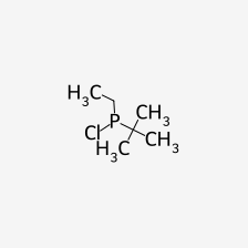 CCP(Cl)C(C)(C)C